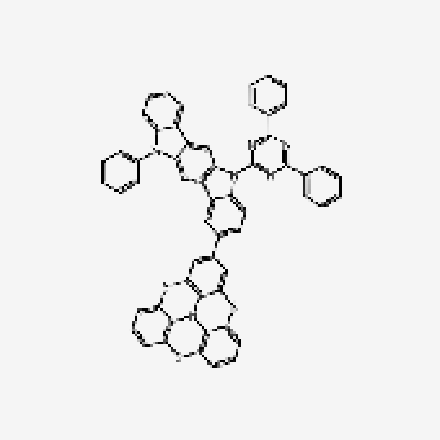 c1ccc(-c2nc(-c3ccccc3)nc(-n3c4ccc(-c5cc6c7c(c5)Sc5cccc8c5N7c5c(cccc5S6)S8)cc4c4cc5c(cc43)c3ccccc3n5-c3ccccc3)n2)cc1